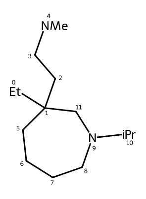 CCC1(CCNC)CCCCN(C(C)C)C1